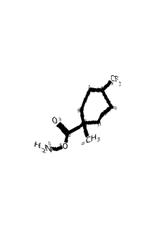 CC1(C(=O)ON)CCC(C(F)(F)F)CC1